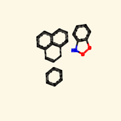 C1=Cc2cccc3cccc(c23)C1.c1ccc2c(c1)NOO2.c1ccccc1